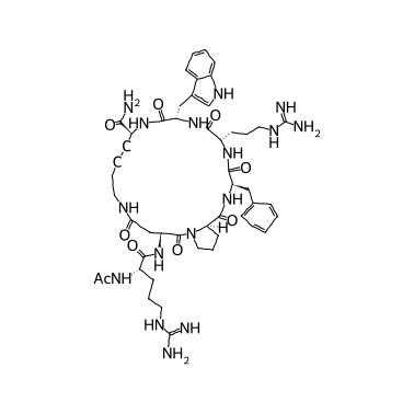 CC(=O)N[C@@H](CCCNC(=N)N)C(=O)N[C@H]1CC(=O)NCCCC[C@@H](C(N)=O)NC(=O)[C@H](Cc2c[nH]c3ccccc23)NC(=O)[C@H](CCCNC(=N)N)NC(=O)[C@@H](Cc2ccccc2)NC(=O)[C@H]2CCCN2C1=O